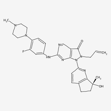 C=CCn1c(=O)c2cnc(Nc3ccc(N4CCN(C)CC4)c(F)c3)nc2n1-c1ccc2c(n1)[C@](C)(O)CC2